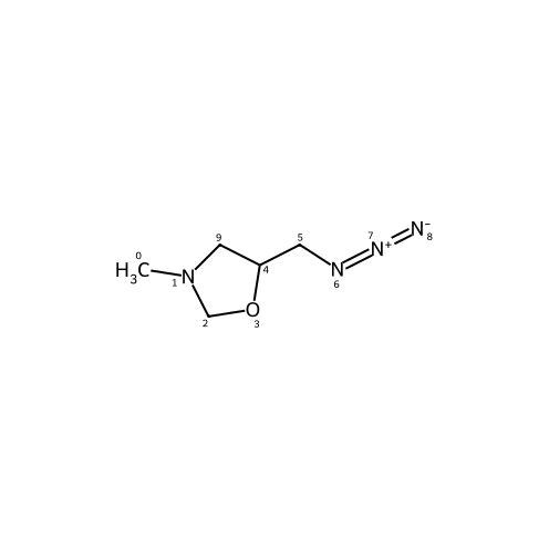 CN1COC(CN=[N+]=[N-])C1